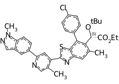 CCOC(=O)[C@@H](OC(C)(C)C)c1c(C)cc2nc(-c3cc(-c4ccc5c(cnn5C)c4)ncc3C)sc2c1-c1ccc(Cl)cc1